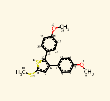 COc1ccc(-c2cc(SC)sc2-c2ccc(OC)cc2)cc1